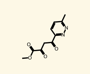 COC(=O)C(=O)CC(=O)c1ccc(C)nn1